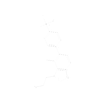 NCCc1c[nH]c2ccc(-c3ccc(C(F)(F)F)cc3)c(Cl)c12